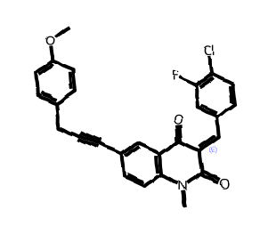 COc1ccc(CC#Cc2ccc3c(c2)C(=O)/C(=C\c2ccc(Cl)c(F)c2)C(=O)N3C)cc1